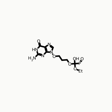 CCOC(O)(OCCCOn1cnc2c(=O)[nH]c(N)nc21)P=O